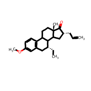 C=CC[C@@H]1CC2C3C(CC[C@]2(C)C1=O)c1ccc(OC)cc1C[C@H]3CC